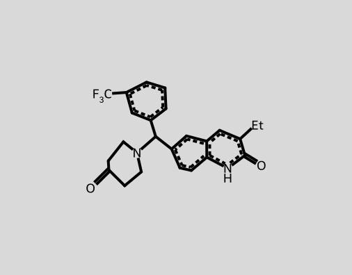 CCc1cc2cc(C(c3cccc(C(F)(F)F)c3)N3CCC(=O)CC3)ccc2[nH]c1=O